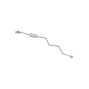 CCCCC#CCCCCBr